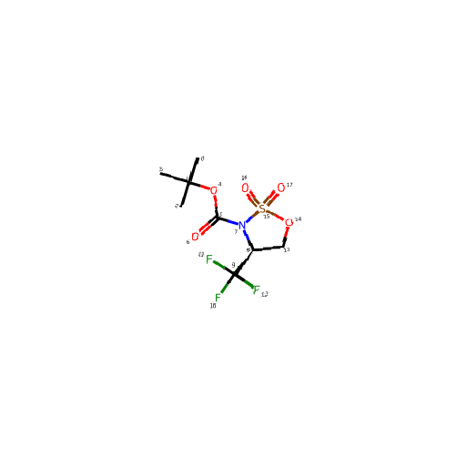 CC(C)(C)OC(=O)N1[C@H](C(F)(F)F)COS1(=O)=O